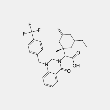 C=C1CC(CC)C[C@](C)(C(C(=O)O)N2CN(Cc3ccc(C(F)(F)F)cc3)c3ccccc3C2=O)C1